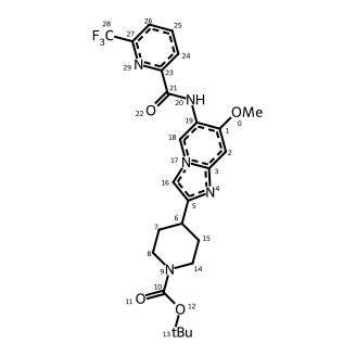 COc1cc2nc(C3CCN(C(=O)OC(C)(C)C)CC3)cn2cc1NC(=O)c1cccc(C(F)(F)F)n1